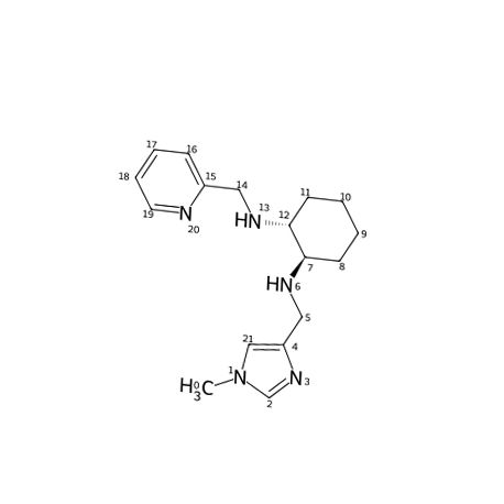 Cn1cnc(CN[C@@H]2CCCC[C@H]2NCc2ccccn2)c1